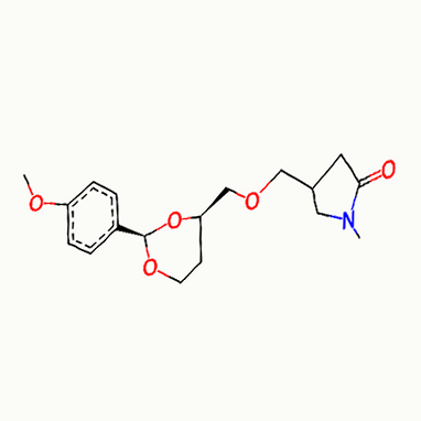 COc1ccc([C@@H]2OCC[C@H](COCC3CC(=O)N(C)C3)O2)cc1